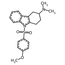 COc1ccc(S(=O)(=O)n2c3c(c4ccccc42)CC(N(C)C)CC3)cc1